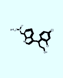 C[S+]([O-])Cc1cccc2c(C(CCO)c3ccc(Cl)cc3Cl)c[nH]c12